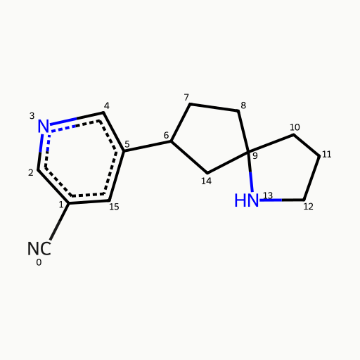 N#Cc1cncc(C2CCC3(CCCN3)C2)c1